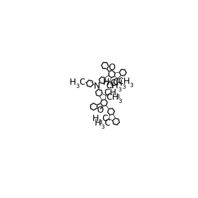 Cc1ccc(N(c2ccc3c(c2)C(C)(C)c2cc(-c4ccc5c(c4)C(C)(C)c4ccccc4-5)c4oc5ccccc5c4c2-3)c2ccc3c(c2)C(C)(C)c2c4c(c5oc6ccccc6c5c2-3)-c2ccccc2C4(C)C)cc1